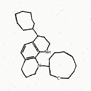 c1cc2c(c3c1CCCN3C1CCCCCCCCC1)NCCC2C1CCCCCC1